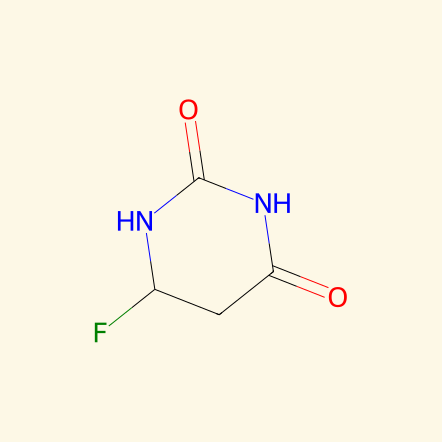 O=C1CC(F)NC(=O)N1